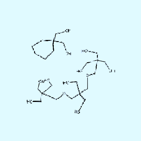 OCC(CO)(CO)COCC(CO)(CO)COCC(CO)(CO)CO.OCC1(CO)CCCCC1